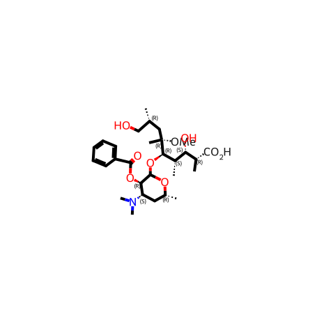 CO[C@](C)(C[C@@H](C)CO)[C@H](OC1O[C@H](C)C[C@H](N(C)C)[C@H]1OC(=O)c1ccccc1)[C@@H](C)[C@H](O)[C@@H](C)C(=O)O